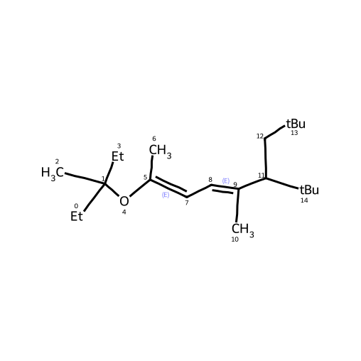 CCC(C)(CC)O/C(C)=C/C=C(\C)C(CC(C)(C)C)C(C)(C)C